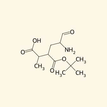 CC(C(=O)O)C(CC(N)C=O)C(=O)OC(C)(C)C